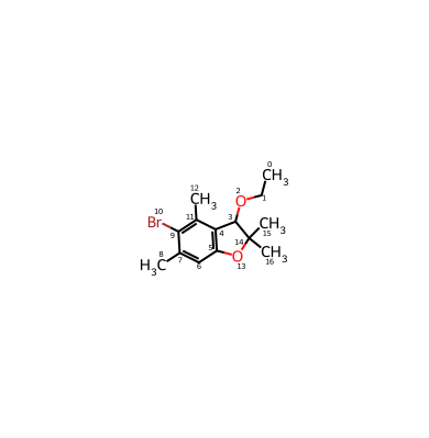 CCOC1c2c(cc(C)c(Br)c2C)OC1(C)C